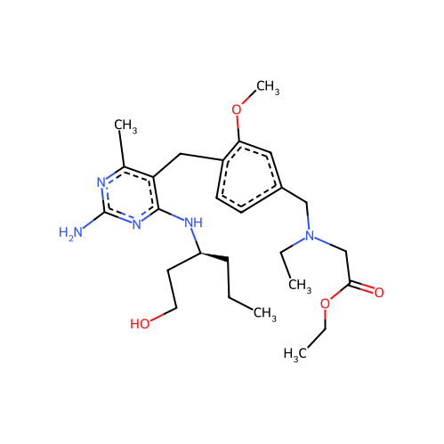 CCC[C@@H](CCO)Nc1nc(N)nc(C)c1Cc1ccc(CN(CC)CC(=O)OCC)cc1OC